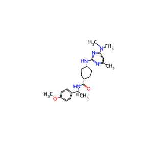 COc1ccc([C@H](C)NC(=O)[C@H]2CC[C@@H](Nc3nc(C)cc(N(C)C)n3)CC2)cc1